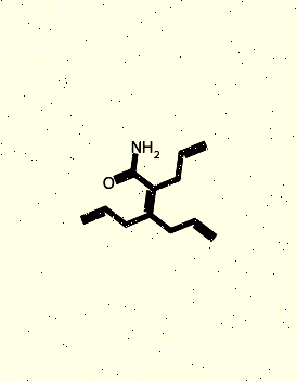 C=CCC(CC=C)=C(CC=C)C(N)=O